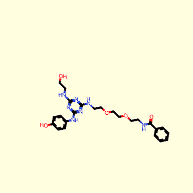 O=C(NCCOCCOCCNc1nc(NCCO)nc(Nc2ccc(O)cc2)n1)c1ccccc1